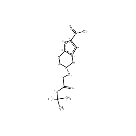 CC(C)(C)OC(=O)CO[C@@H]1COc2nc([N+](=O)[O-])cn2C1